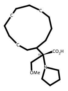 COC[C@](C(=O)O)(C1CCCCCCCCCCC1)N1CCCC1